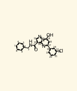 O=C(NCc1ccccc1)c1cnn2c(O)cc(-c3cccc(Cl)c3)nc12